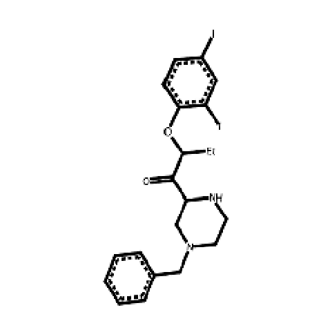 CCC(Oc1ccc(I)cc1I)C(=O)C1CN(Cc2ccccc2)CCN1